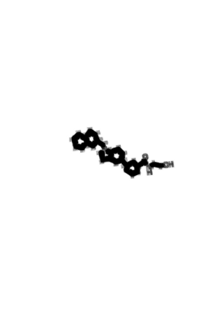 O=C(NCCO)c1cccc(-c2ccc3c(ccn3Cc3ccc4ccccc4c3)c2)c1